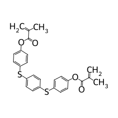 C=C(C)C(=O)Oc1ccc(Sc2ccc(Sc3ccc(OC(=O)C(=C)C)cc3)cc2)cc1